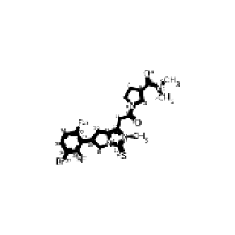 CN(C)C(=O)C1CCN(C(=O)Cc2c3n(c(=S)n2C)CC(c2c(F)ccc(Br)c2F)C3)C1